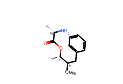 CO[C@H](Cc1ccccc1)[C@H](C)OC(=O)[C@H](C)N